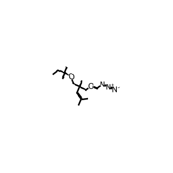 CCC(C)(C)OCC(C)(C=C(C)C)COCN=[N+]=[N-]